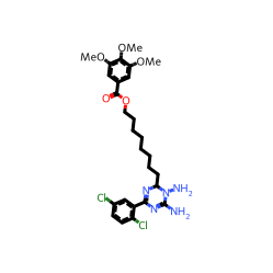 COc1cc(C(=O)OCCCCCCCCC2N=C(c3cc(Cl)ccc3Cl)N=C(N)N2N)cc(OC)c1OC